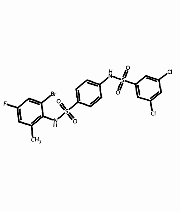 Cc1cc(F)cc(Br)c1NS(=O)(=O)c1ccc(NS(=O)(=O)c2cc(Cl)cc(Cl)c2)cc1